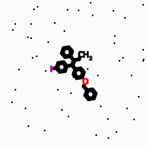 CCC(=C(c1ccc(I)cc1)c1ccc(OCc2ccccc2)cc1)c1ccccc1